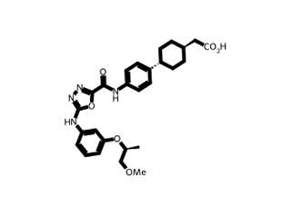 COC[C@H](C)Oc1cccc(Nc2nnc(C(=O)Nc3ccc([C@H]4CC[C@H](CC(=O)O)CC4)cc3)o2)c1